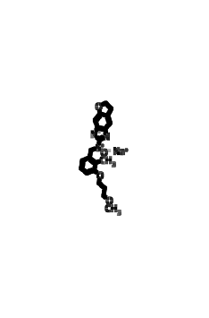 COCCCOc1cccc(C[S+]([O-])c2nc3cc4c(cc3[n-]2)OCC4)c1C.[Na+]